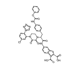 O=C(Nc1ccc(CC(C(=O)Nc2ccc3c(c2)cc(C(=O)O)n3C(=O)O)N2CCN(c3cc(Cl)ccc3-n3cnnn3)C(=O)C2=O)cc1)Oc1ccccc1